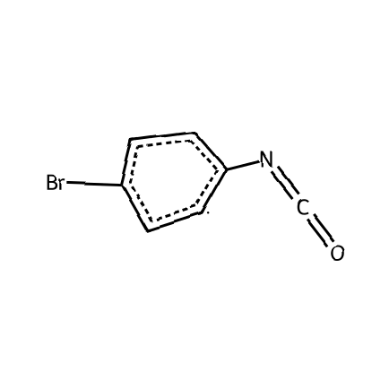 O=C=Nc1[c]cc(Br)cc1